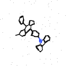 CC1C=CC2=C(C3=CCC(n4c5c(c6ccccc64)CCC=C5)C=C3)c3ccccc3C(c3ccccc3)C2C1